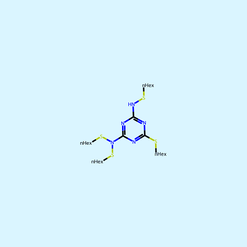 CCCCCCSNc1nc(SCCCCCC)nc(N(SCCCCCC)SCCCCCC)n1